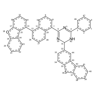 c1ccc(C2=NC(c3cccc4c(-c5cccc6oc7ccccc7c56)cccc34)=NC(c3ccc4sc5ccccc5c4c3)N2)cc1